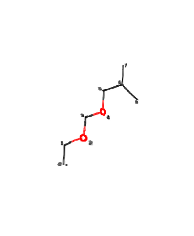 [CH2]COCOCC(C)C